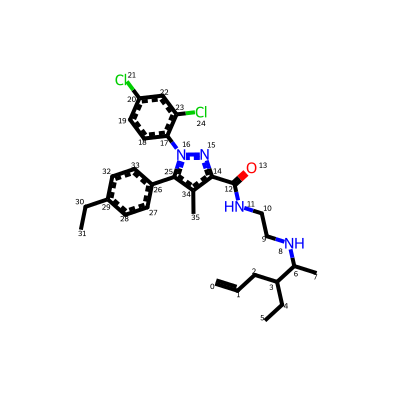 C=CCC(CC)C(C)NCCNC(=O)c1nn(-c2ccc(Cl)cc2Cl)c(-c2ccc(CC)cc2)c1C